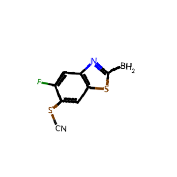 Bc1nc2cc(F)c(SC#N)cc2s1